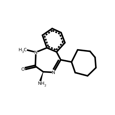 CN1C(=O)[C@H](N)N=C(C2CCCCCC2)c2ccccc21